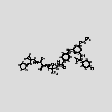 CC(C)(CNC(=O)C(=O)NCC1(CN2CCCC2)CC1)CNC(=O)c1ccc(Nc2nc(NC3(c4ccc(Cl)cc4)CC3)nc(OCC(F)(F)F)n2)cc1